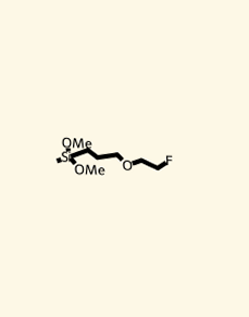 CO[Si](C)(CCCOCCF)OC